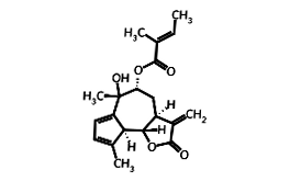 C=C1C(=O)O[C@@H]2[C@H]3C(C)=CC=C3[C@](C)(O)[C@H](OC(=O)/C(C)=C/C)C[C@@H]12